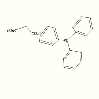 CCCCCCCCCCCC(=O)O.c1cc[c]([Pb]([c]2ccccc2)[c]2ccccc2)cc1